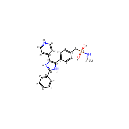 CCCCNS(=O)(=O)Cc1ccc(-c2[nH]c(-c3ccccc3)nc2-c2ccncc2)cc1